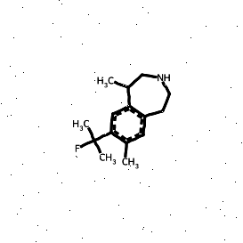 Cc1cc2c(cc1C(C)(C)F)C(C)CNCC2